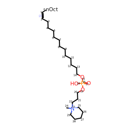 CCCCCCCC/C=C\CCCCCCCCCCCCOP(=O)(O)OCCC[N+]1(C)CCCCC1